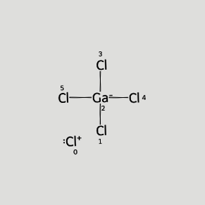 [Cl+].[Cl][Ga-]([Cl])([Cl])[Cl]